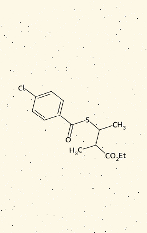 CCOC(=O)C(C)C(C)SC(=O)c1ccc(Cl)cc1